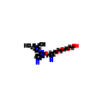 N#CC[C@H]1CN(c2nc(OC[C@@H]3C[C@@H](COCCOCCOCCO)CN3)nc3c2CCNC3)CCN1C(=O)O